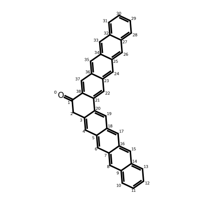 O=C1Cc2cc3cc4cc5ccccc5cc4cc3cc2-c2cc3cc4cc5ccccc5cc4cc3cc21